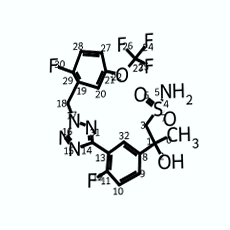 CC(O)(CS(N)(=O)=O)c1ccc(F)c(-c2nnn(Cc3cc(OC(F)(F)F)ccc3F)n2)c1